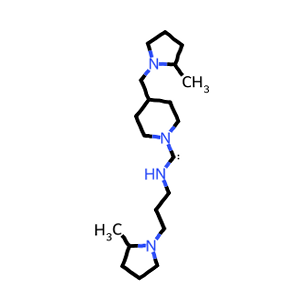 CC1CCCN1CCCN[C]N1CCC(CN2CCCC2C)CC1